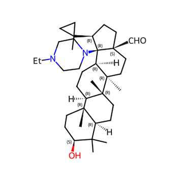 CCN1CCN([C@@]23[C@@H](C4(C)CC4)CC[C@]2(C=O)CC[C@]2(C)[C@H]3CC[C@@H]3[C@@]4(C)CC[C@H](O)C(C)(C)[C@@H]4CC[C@]32C)CC1